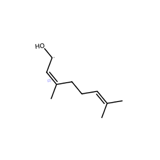 CC(C)=CCC/C(C)=C\[CH]O